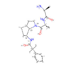 CC(C)[C@H](NC(=O)[C@H](C)N)C(=O)N1CCC2CCC(NC(=O)C(C)(C)c3ccccc3)C21